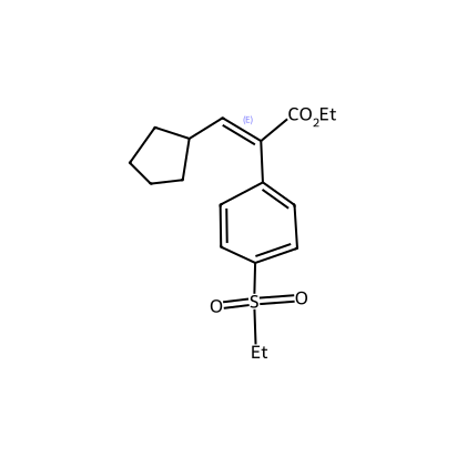 CCOC(=O)/C(=C/C1CCCC1)c1ccc(S(=O)(=O)CC)cc1